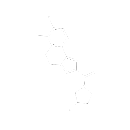 O=C(c1cc2c(s1)-c1ccc(F)c(F)c1CC2)N1CCC(F)C1